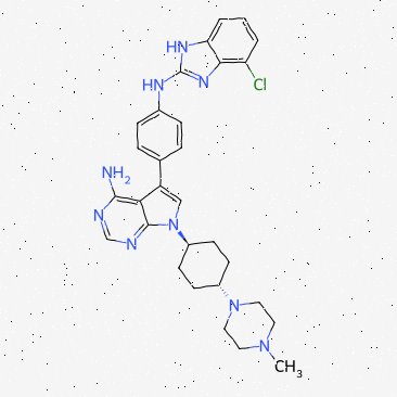 CN1CCN([C@H]2CC[C@H](n3cc(-c4ccc(Nc5nc6c(Cl)cccc6[nH]5)cc4)c4c(N)ncnc43)CC2)CC1